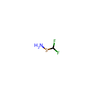 NSC(F)F